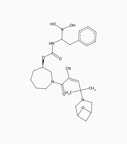 CC(C)(C=C(C#N)C(=O)N1CCCC[C@@H](OC(=O)NC(Cc2ccccc2)B(O)O)C1)N1CC2CC(C1)O2